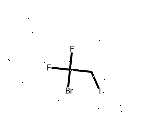 FC(F)(Br)CI